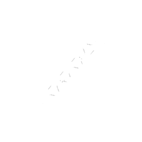 O=C(O)c1ccc(-[n+]2ccc(-c3cc[n+](-c4ccc(C(=O)O)cc4)cc3)cc2)cc1